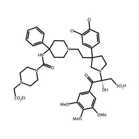 CCOC(=O)CN1CCN(C(=O)NC2(c3ccccc3)CCN(CCC3(c4ccc(Cl)c(Cl)c4)CCN([C@@](O)(CS(=O)(=O)O)C(=O)c4cc(OC)c(OC)c(OC)c4)C3)CC2)CC1